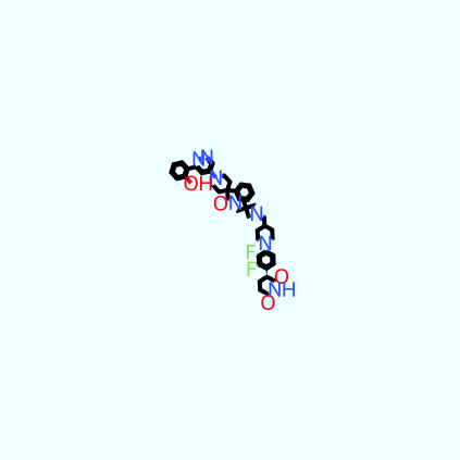 O=C1CC[C@H](c2ccc(N3CCC(CN4CC5(C4)CN(C(=O)C4(c6ccccc6)CCN(c6cnnc(-c7ccccc7O)c6)CC4)C5)CC3)c(F)c2F)C(=O)N1